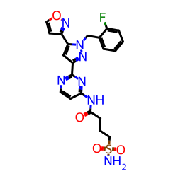 NS(=O)(=O)CCCC(=O)Nc1ccnc(-c2cc(-c3ccon3)n(Cc3ccccc3F)n2)n1